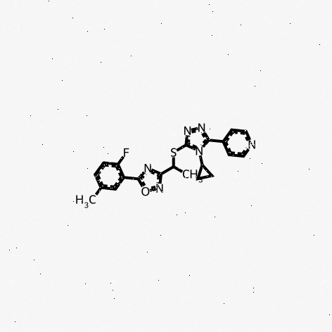 Cc1ccc(F)c(-c2nc(C(C)Sc3nnc(-c4ccncc4)n3C3CC3)no2)c1